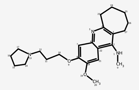 CNc1c2c(nc3cc(OCCCN4CCCC4)c(OC)cc13)CCCCC2